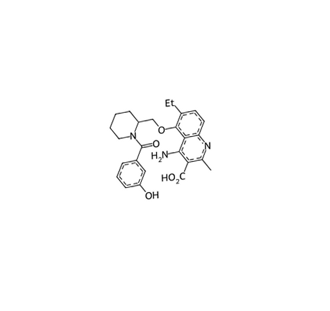 CCc1ccc2nc(C)c(C(=O)O)c(N)c2c1OCC1CCCCN1C(=O)c1cccc(O)c1